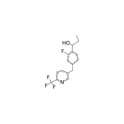 CCC(O)c1ccc(Cc2ccc(C(F)(F)F)nc2)cc1F